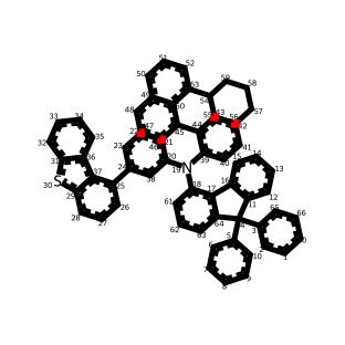 c1ccc(C2(c3ccccc3)c3ccccc3-c3c(N(c4cccc(-c5cccc6sc7ccccc7c56)c4)c4ccccc4-c4cccc5cccc(C6CCCCC6)c45)cccc32)cc1